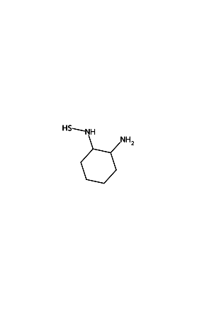 NC1CCCCC1NS